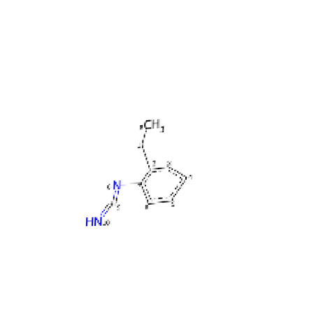 CCc1ccccc1N=C=N